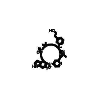 Cn1nc2nc1-c1cc(ccn1)[S+]([O-])c1c(F)cc3[nH]ccc3c1CCS(=O)(=O)CC(C)(C)CCC[C@]2(C)c1cccc(CCO)c1